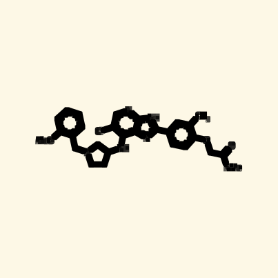 CNC(=O)COc1ccc(-c2nc3c(NC4CCN(Cc5ccccc5OC)C4)c(Cl)cnc3[nH]2)cc1C